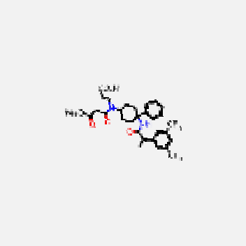 COC(=O)CC(=O)N(CCC(=O)O)C1CCC(NC(=O)C(C)c2cc(C(F)(F)F)cc(C(F)(F)F)c2)(c2ccccc2)CC1